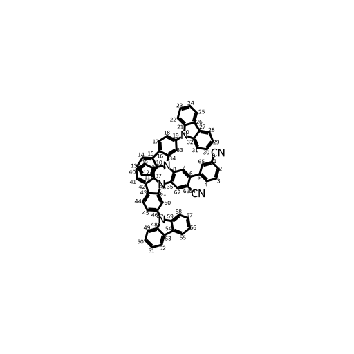 N#Cc1cccc(-c2cc(-n3c4ccccc4c4ccc(-n5c6ccccc6c6ccccc65)cc43)c(-n3c4ccccc4c4ccc(-n5c6ccccc6c6ccccc65)cc43)cc2C#N)c1